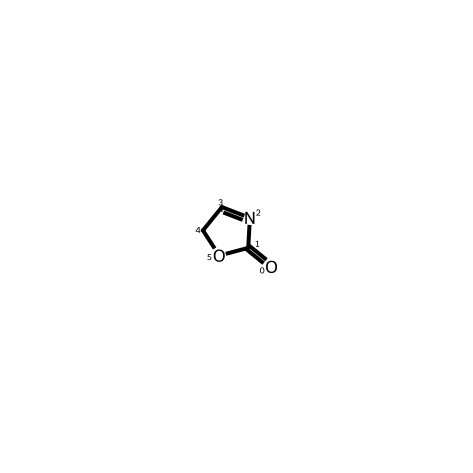 O=C1N=[C]CO1